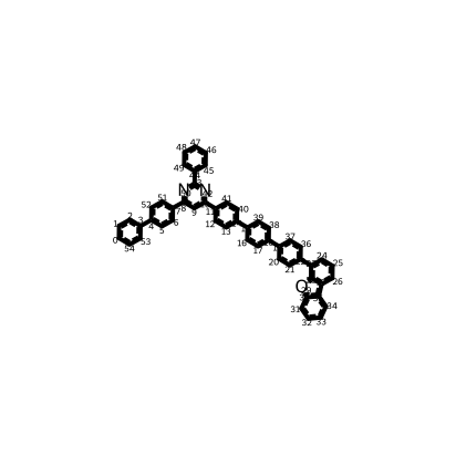 c1ccc(-c2ccc(-c3cc(-c4ccc(-c5ccc(-c6ccc(-c7cccc8c7oc7ccccc78)cc6)cc5)cc4)nc(-c4ccccc4)n3)cc2)cc1